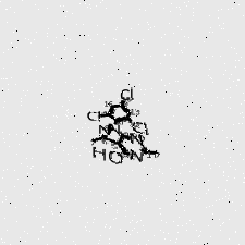 Cc1nc(O)c2c(C)nn(-c3c(Cl)cc(Cl)cc3Cl)c2n1